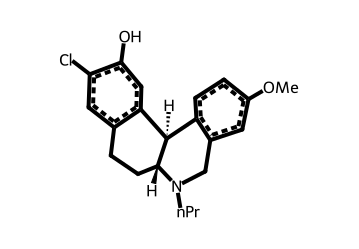 CCCN1Cc2cc(OC)ccc2[C@@H]2c3cc(O)c(Cl)cc3CC[C@H]21